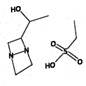 CC(O)C1CN2CCN12.CCS(=O)(=O)O